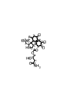 CC(C)(C)C[C@@H]1N[C@@H](C(=O)OC[C@@H](O)CC(N)=O)[C@H](c2ccc(Cl)c(Cl)c2)[C@@]1(C#N)c1ccc(Cl)cc1F